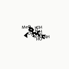 COc1ccc(-c2ncnc3c(C(=O)N[C@@H]4CNC[C@H]4O)c(C)[nH]c23)c(OCC2CC2)c1.Cl